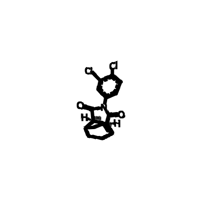 O=C1[C@@H]2C3CCCC(CC3)[C@@H]2C(=O)N1c1ccc(Cl)c(Cl)c1